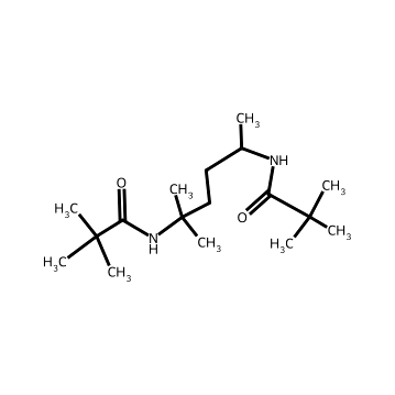 CC(CCC(C)(C)NC(=O)C(C)(C)C)NC(=O)C(C)(C)C